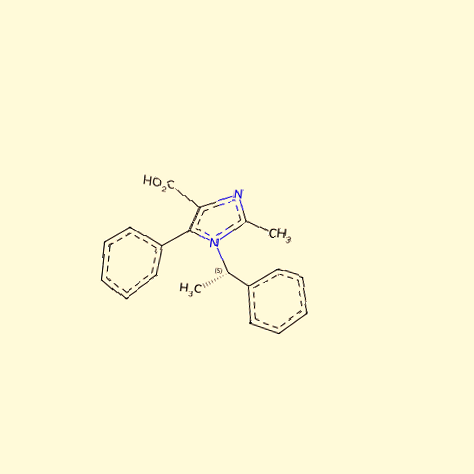 Cc1nc(C(=O)O)c(-c2ccccc2)n1[C@@H](C)c1ccccc1